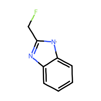 FCC1=Nc2ccccc2[N]1